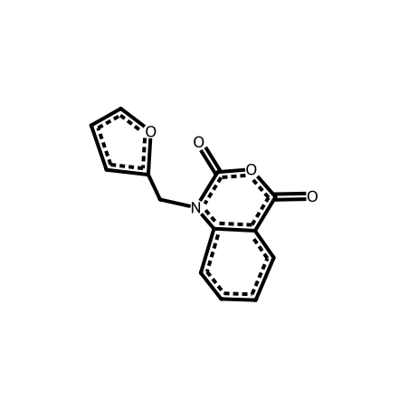 O=c1oc(=O)n(Cc2ccco2)c2ccccc12